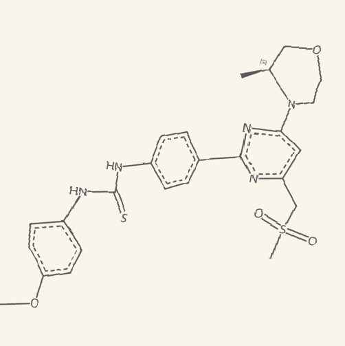 COc1ccc(NC(=S)Nc2ccc(-c3nc(CS(C)(=O)=O)cc(N4CCOC[C@@H]4C)n3)cc2)cc1